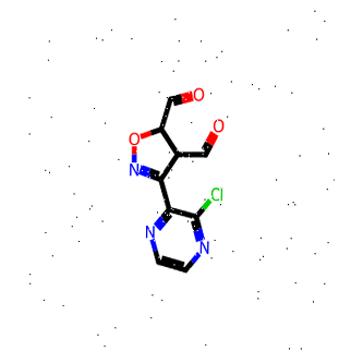 O=CC1ON=C(c2nccnc2Cl)C1C=O